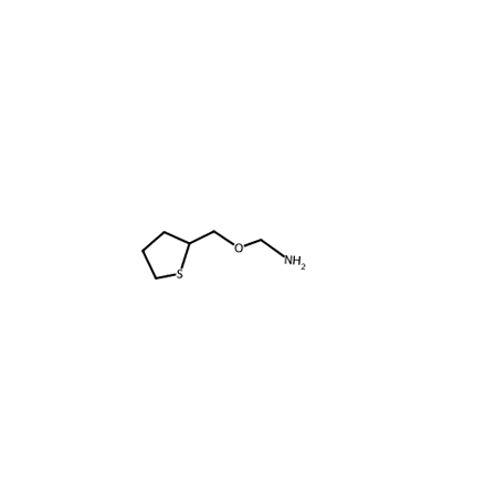 NCOCC1CCCS1